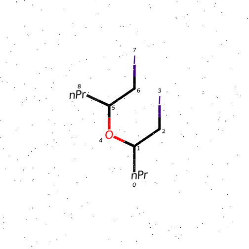 CCCC(CI)OC(CI)CCC